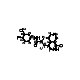 C[C@@H](c1c[nH]c(=O)c2cnccc12)N(C)C(=O)Nc1ccc(F)c(Cl)c1